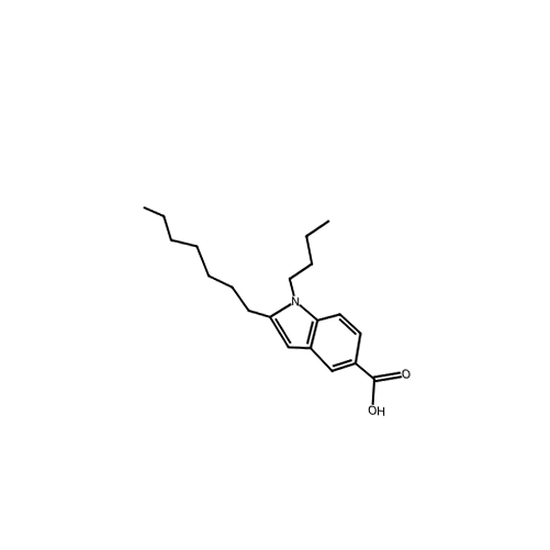 CCCCCCCc1cc2cc(C(=O)O)ccc2n1CCCC